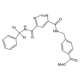 [2H]C([2H])(NC(=O)c1cc(C(=O)NCc2ccc(C(=O)OC)cc2)ncn1)c1ccccc1